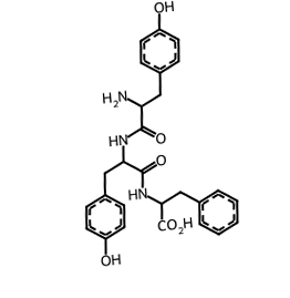 NC(Cc1ccc(O)cc1)C(=O)NC(Cc1ccc(O)cc1)C(=O)NC(Cc1ccccc1)C(=O)O